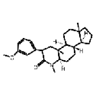 COc1cccc(C2C[C@]3(C)[C@H]4CC[C@]5(C)CCC[C@H]5[C@@H]4CC[C@H]3N(C)C2=O)c1